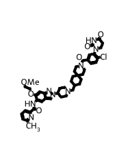 COCCOc1cc2nn(C3CCN(CC4CCC5(CC4)CCN(C(=O)c4ccc(Cl)c(N6CCC(=O)NC6=O)c4)CC5)CC3)cc2cc1NC(=O)c1cccc(C)n1